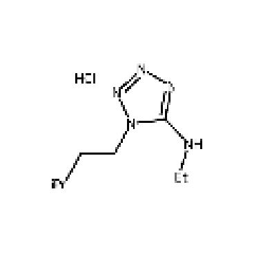 CCNc1nnnn1CCC(C)C.Cl